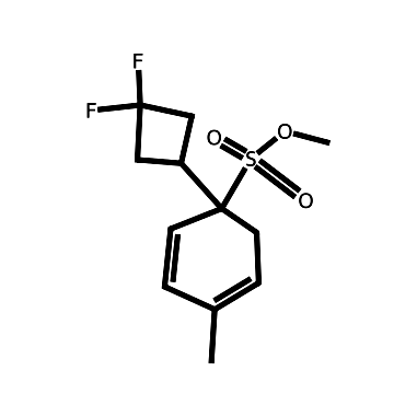 COS(=O)(=O)C1(C2CC(F)(F)C2)C=CC(C)=CC1